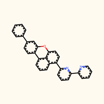 c1ccc(-c2ccc3c(c2)Oc2ccc(-c4cccc(-c5ccccn5)n4)c4cccc-3c24)cc1